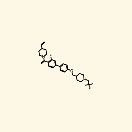 C=CC1CCN(C(=C)c2ccc(-c3ccc(OCC4CCN(CC(C)(C)F)CC4)cc3)cc2F)CC1